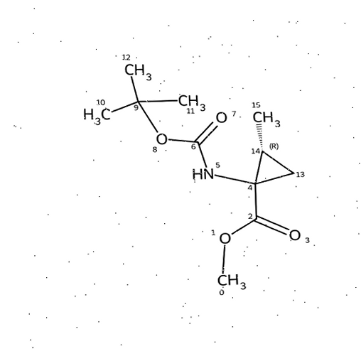 COC(=O)C1(NC(=O)OC(C)(C)C)C[C@H]1C